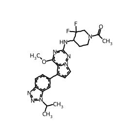 COc1nc(NC2CCN(C(C)=O)CC2(F)F)nn2ccc(-c3ccc4nnn(C(C)C)c4c3)c12